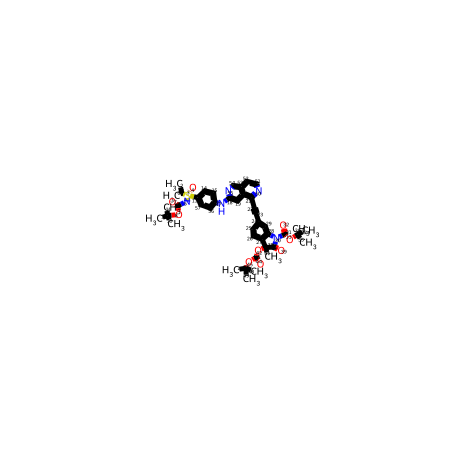 CC(C)S(=O)(=NC(=O)OC(C)(C)C)c1ccc(Nc2cc3c(C#Cc4ccc5c(c4)N(C(=O)OC(C)(C)C)C(=O)C5(C)OC(=O)OC(C)(C)C)nccc3cn2)cc1